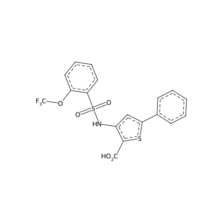 O=C(O)c1sc(-c2ccccc2)cc1NS(=O)(=O)c1ccccc1OC(F)(F)F